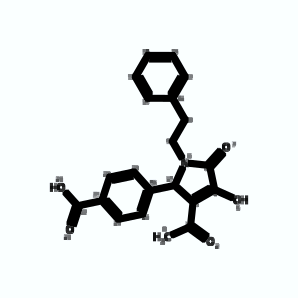 CC(=O)C1=C(O)C(=O)N(CCc2ccccc2)C1c1ccc(C(=O)O)cc1